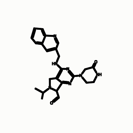 CC(C)N1Cc2c(NCc3cnc4ccccc4c3)nc(N3CCNC(=O)C3)nc2C1C=O